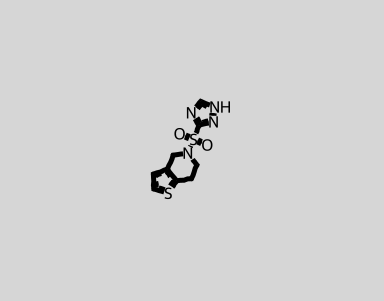 O=S(=O)(c1nc[nH]n1)N1CCc2sccc2C1